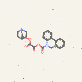 O=C(NCc1ccccc1-c1ccccc1)OC(=O)C(=O)OC1CN2CCC1CC2